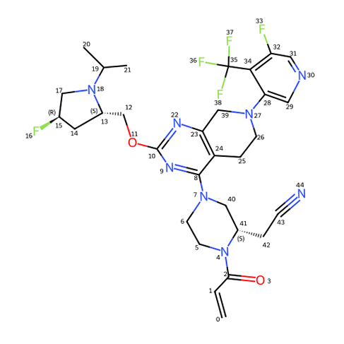 C=CC(=O)N1CCN(c2nc(OC[C@@H]3C[C@@H](F)CN3C(C)C)nc3c2CCN(c2cncc(F)c2C(F)(F)F)C3)C[C@@H]1CC#N